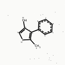 CC1=C(c2ccccc2)C(O)=C[I]1